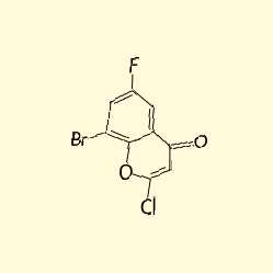 O=c1cc(Cl)oc2c(Br)cc(F)cc12